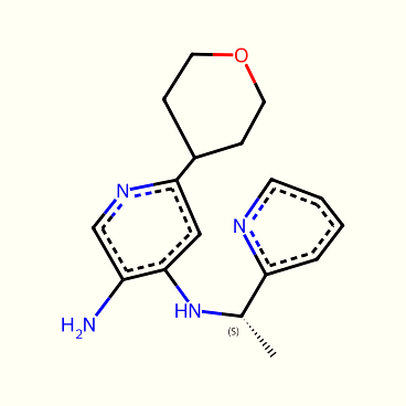 C[C@H](Nc1cc(C2CCOCC2)ncc1N)c1ccccn1